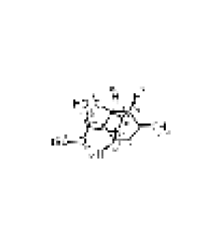 C=C1C[C@@H]2CC[C@H]1[C@H](C(=O)O)N2C(=O)OC(C)(C)C